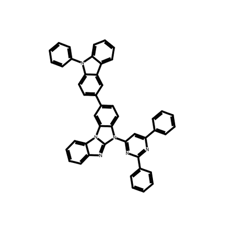 c1ccc(-c2cc(-n3c4ccc(-c5ccc6c(c5)c5ccccc5n6-c5ccccc5)cc4n4c5ccccc5nc34)nc(-c3ccccc3)n2)cc1